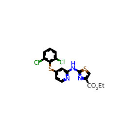 CCOC(=O)c1csc(Nc2cc(Sc3c(Cl)cccc3Cl)ccn2)n1